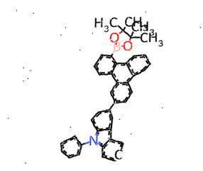 CC1(C)OB(c2cccc3c4cc(-c5ccc6c(c5)c5ccccc5n6-c5ccccc5)ccc4c4ccccc4c23)OC1(C)C